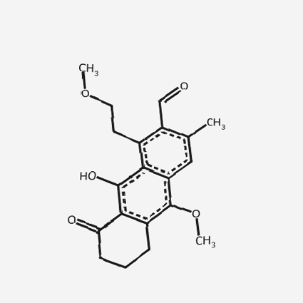 COCCc1c(C=O)c(C)cc2c(OC)c3c(c(O)c12)C(=O)CCC3